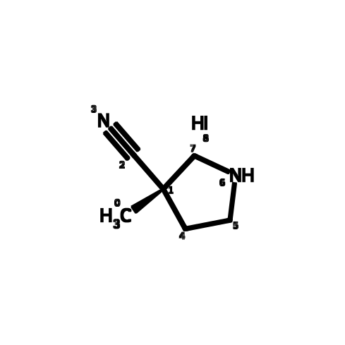 C[C@]1(C#N)CCNC1.I